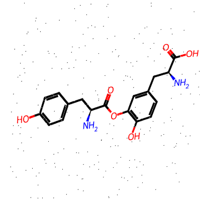 N[C@@H](Cc1ccc(O)c(OC(=O)[C@@H](N)Cc2ccc(O)cc2)c1)C(=O)O